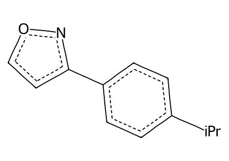 CC(C)c1ccc(-c2ccon2)cc1